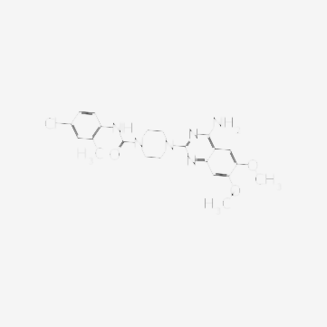 COc1cc2nc(N3CCN(C(=O)Nc4ccc(Cl)cc4C)CC3)nc(N)c2cc1OC